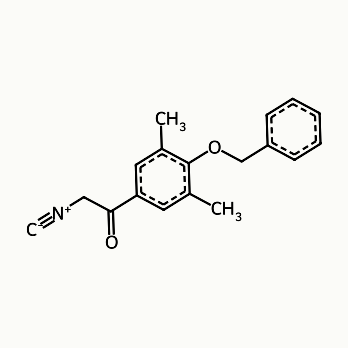 [C-]#[N+]CC(=O)c1cc(C)c(OCc2ccccc2)c(C)c1